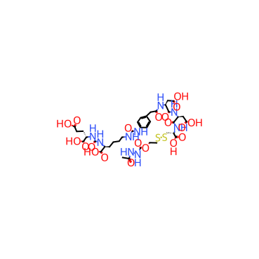 CC(=O)NNC(=O)OCCSSC[C@H](NC(=O)[C@H](CC(=O)O)NC(=O)[C@H](CC(=O)O)NC(=O)Cc1ccc(NC(=O)NCCCC[C@H](NC(=O)N[C@@H](CCC(=O)O)C(=O)O)C(=O)O)cc1)C(=O)O